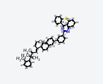 C=C(/C=C(\C=C/C)c1ccc2cc(-c3cccc(-c4nc5c6c(cccc6n4)Sc4ccccc4-5)c3)ccc2c1)C(C)(C)c1ccccc1C